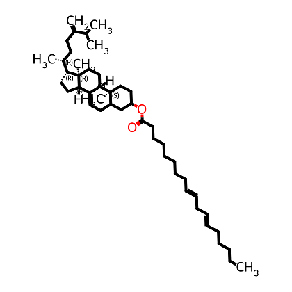 C=C(CC[C@@H](C)[C@H]1CC[C@H]2C3=CCC4CC(OC(=O)CCCCCCCC=CCC=CCCCCC)CC[C@]4(C)[C@H]3CC[C@]12C)C(C)C